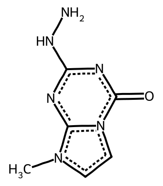 Cn1ccn2c(=O)nc(NN)nc12